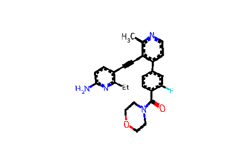 CCc1nc(N)ccc1C#Cc1c(-c2ccc(C(=O)N3CCOCC3)c(F)c2)ccnc1C